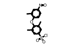 Cc1cc(N=O)ccc1Oc1c(C)cc(S(=O)(=O)Cl)cc1C